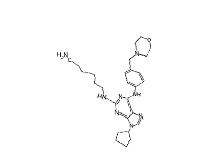 NCCCCCCNc1nc(Nc2ccc(CN3CCOCC3)cc2)c2ncn(C3CCCC3)c2n1